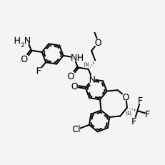 COCC[C@@H](C(=O)Nc1ccc(C(N)=O)c(F)c1)n1cc2c(cc1=O)-c1cc(Cl)ccc1C[C@@H](C(F)(F)F)OC2